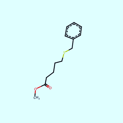 COC(=O)CCCCSCc1ccccc1